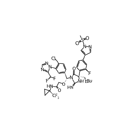 CC(C)(C)C[C@]1(c2ccc(-c3cnn(S(C)(=O)=O)c3)cc2F)NC(=N)N([C@H](OCC(=O)NC2(C(F)(F)F)CC2)c2ccc(Cl)c(-n3ncnc3C(F)F)c2)C1=O